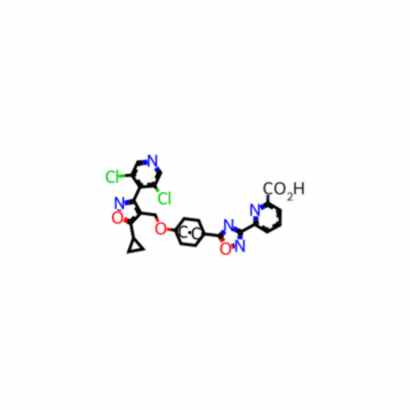 O=C(O)c1cccc(-c2noc(C34CCC(OCc5c(-c6c(Cl)cncc6Cl)noc5C5CC5)(CC3)CC4)n2)n1